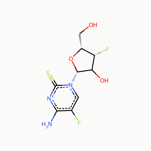 Nc1nc(=S)n([C@@H]2O[C@H](CO)[C@H](F)C2O)cc1F